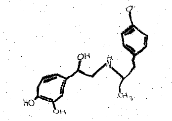 CC(Cc1ccc([O])cc1)NCC(O)c1ccc(O)c(O)c1